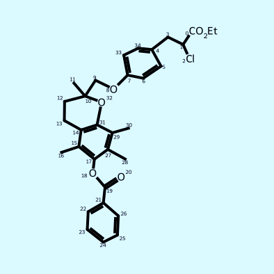 CCOC(=O)C(Cl)Cc1ccc(OCC2(C)CCc3c(C)c(OC(=O)c4ccccc4)c(C)c(C)c3O2)cc1